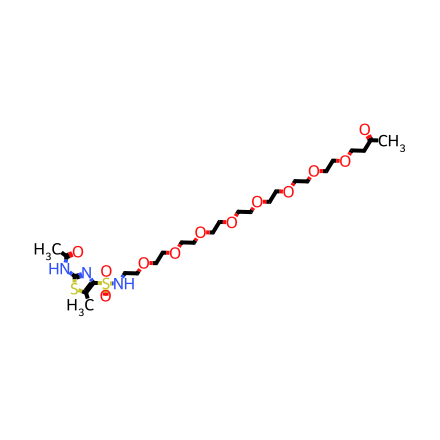 CC(=O)CCOCCOCCOCCOCCOCCOCCOCCOCCNS(=O)(=O)c1nc(NC(C)=O)sc1C